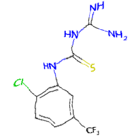 N=C(N)NC(=S)Nc1cc(C(F)(F)F)ccc1Cl